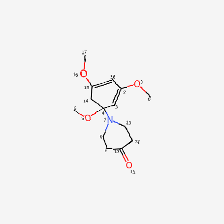 COC1=CC(OC)(N2CCC(=O)CC2)CC(OC)=C1